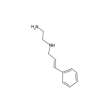 NCCNCC=Cc1ccccc1